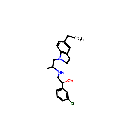 CC(CN1CCc2cc(CC(=O)O)ccc21)NC[C@H](O)c1cccc(Cl)c1